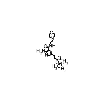 CC(C)(C)OC(=O)C=Cc1cnc(N)c(C(=O)NCCN2CCOCC2)c1